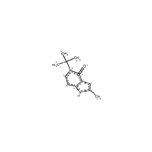 Cc1cc2c(=O)n(C(C)(C)C)ccc2s1